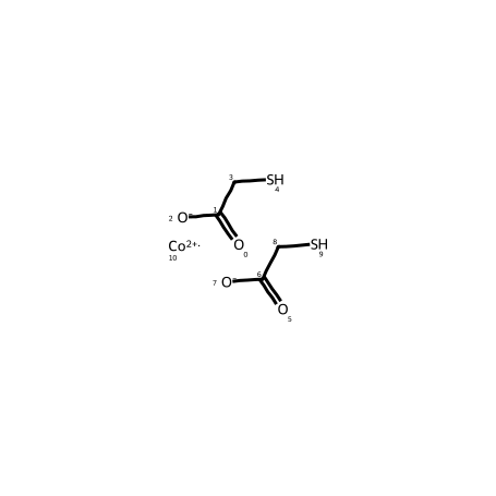 O=C([O-])CS.O=C([O-])CS.[Co+2]